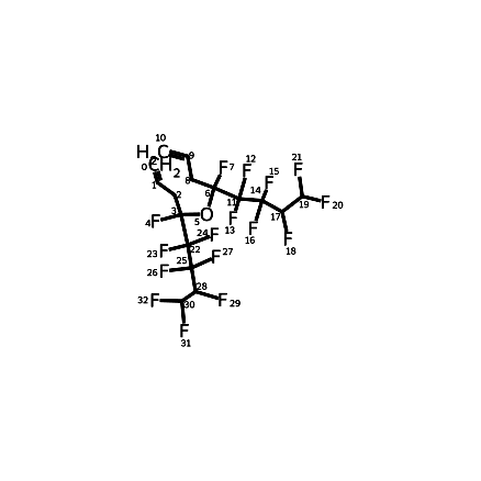 C=CCC(F)(OC(F)(CC=C)C(F)(F)C(F)(F)C(F)C(F)F)C(F)(F)C(F)(F)C(F)C(F)F